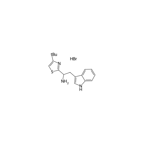 Br.CC(C)(C)c1csc(C(N)Cc2c[nH]c3ccccc23)n1